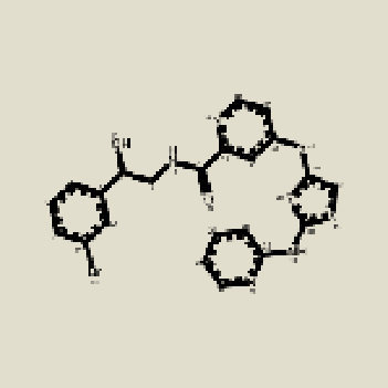 O=C(NCC(O)c1cccc(Br)c1)c1cc(Sc2cnc(Nc3ccccn3)s2)ccn1